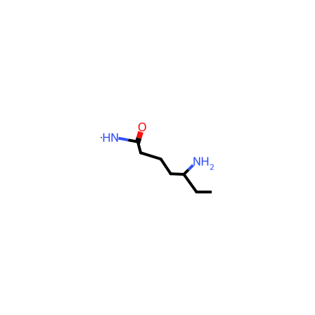 CCC(N)CCCC([NH])=O